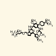 C=CC(=O)Nc1cc(Nc2nc(-c3cnn(C)c3)c3ccn(COCC[Si](C)(C)C)c3n2)c(OC)cc1N1CCC(N(C)C)CC1